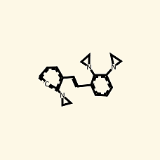 C(=C\c1cccc(N2CC2)c1N1CC1)/c1ccccc1N1CC1